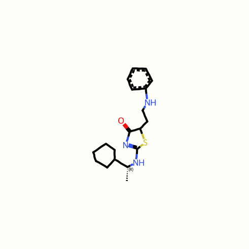 C[C@@H](NC1=NC(=O)C(CCNc2ccccc2)S1)C1CCCCC1